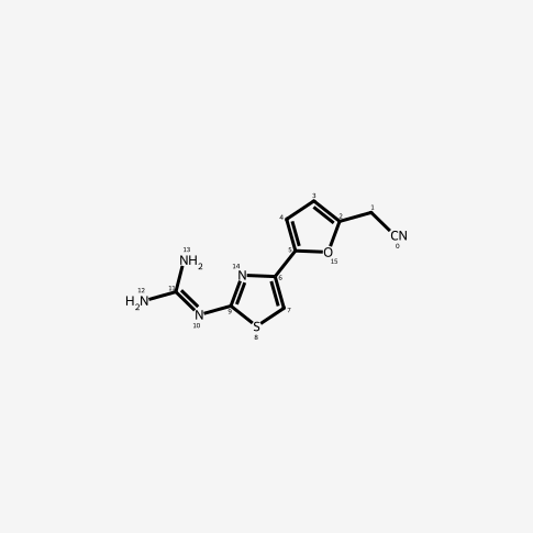 N#CCc1ccc(-c2csc(N=C(N)N)n2)o1